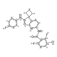 O=C(Nc1ccc(C2(C(=O)Nc3ccc(F)cc3)CCC2)cn1)c1c(F)ccc(Cl)c1F